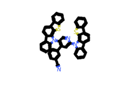 N#Cc1cccc(-c2cc(-n3c4ccccc4c4ccc5c6ccccc6sc5c43)ncc2-n2c3ccccc3c3ccc4c5ccccc5sc4c32)c1